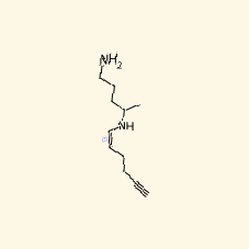 C#CCC/C=C\NC(C)CCCN